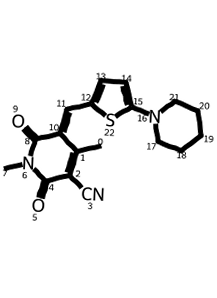 CC1=C(C#N)C(=O)N(C)C(=O)/C1=C/c1ccc(N2CCCCC2)s1